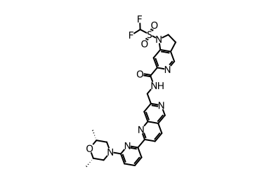 C[C@@H]1CN(c2cccc(-c3ccc4cnc(CNC(=O)c5cc6c(cn5)CCN6S(=O)(=O)C(F)F)cc4n3)n2)C[C@H](C)O1